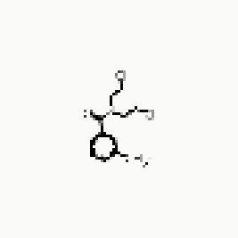 [CH2]c1cccc(C(=O)N(CCCl)CCCl)c1